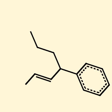 CC=CC(CCC)c1ccccc1